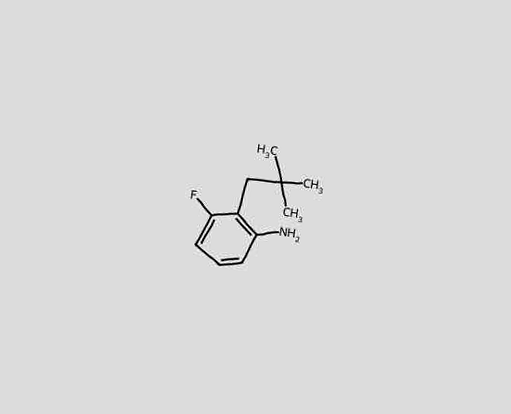 CC(C)(C)Cc1c(N)cccc1F